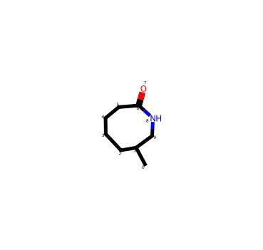 CC1CCCCC(=O)NC1